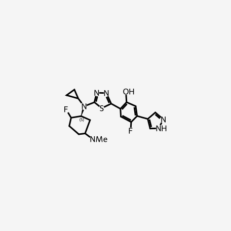 CNC1CCC(F)[C@@H](N(c2nnc(-c3cc(F)c(-c4cn[nH]c4)cc3O)s2)C2CC2)C1